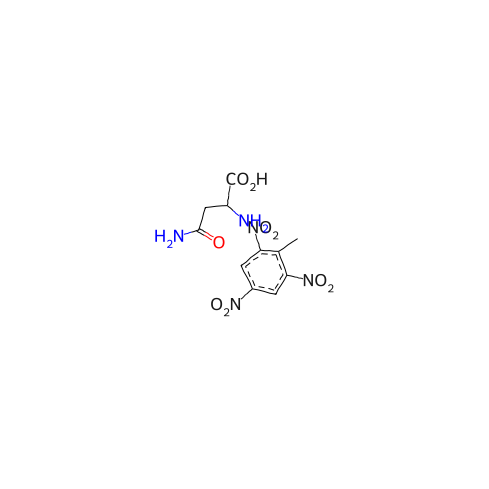 Cc1c([N+](=O)[O-])cc([N+](=O)[O-])cc1[N+](=O)[O-].NC(=O)CC(N)C(=O)O